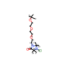 CC(C)(C)OCCOCCOCCN1C(=O)C(C)(C)N(Cl)C1(C)C